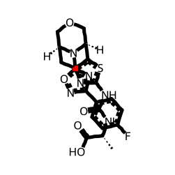 C[C@@H](NC(=O)Nc1nc2c(s1)[C@@H]1COC[C@H](C2)N1c1nc(-c2ccc(F)cc2)no1)C(=O)O